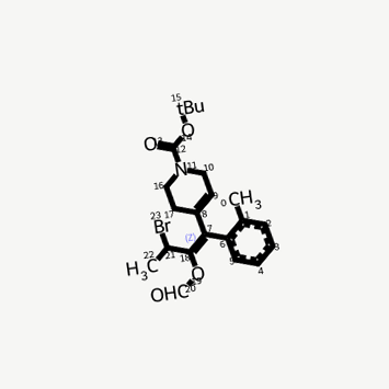 Cc1ccccc1/C(C1=CCN(C(=O)OC(C)(C)C)CC1)=C(\OC=O)C(C)Br